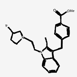 COC(=O)c1ccc(Cc2c(C)n(CCN3CCC(F)C3)c3ccccc23)cc1